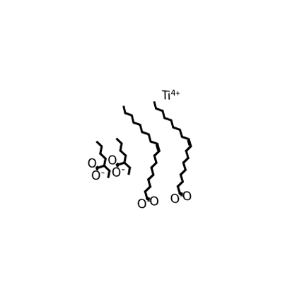 CCCCC(CC)C(=O)[O-].CCCCC(CC)C(=O)[O-].CCCCCCCC/C=C\CCCCCCCC(=O)[O-].CCCCCCCC/C=C\CCCCCCCC(=O)[O-].[Ti+4]